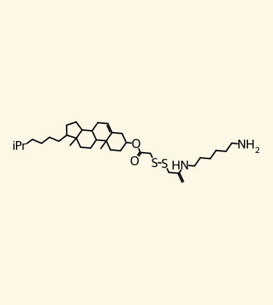 C=C(CSSCC(=O)OC1CCC2(C)C(=CCC3C2CCC2(C)C(CCCCC(C)C)CCC32)C1)NCCCCCCN